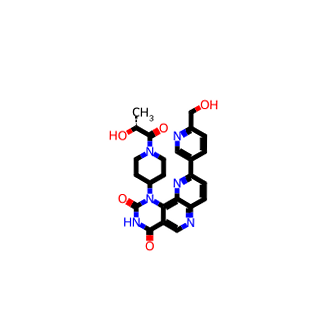 C[C@@H](O)C(=O)N1CCC(n2c(=O)[nH]c(=O)c3cnc4ccc(-c5ccc(CO)nc5)nc4c32)CC1